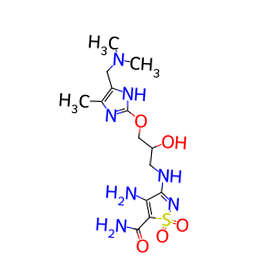 Cc1nc(OCC(O)CNC2=NS(=O)(=O)C(C(N)=O)=C2N)[nH]c1CN(C)C